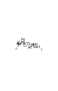 C=C(C)CCc1cc(NC(=O)C(C)c2ccc(-c3nn(C4(C)CC4)c(N)c3C#N)cc2)on1